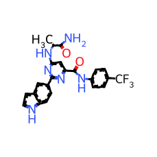 CC(Nc1cc(C(=O)Nc2ccc(C(F)(F)F)cc2)nc(-c2ccc3[nH]ccc3c2)n1)C(N)=O